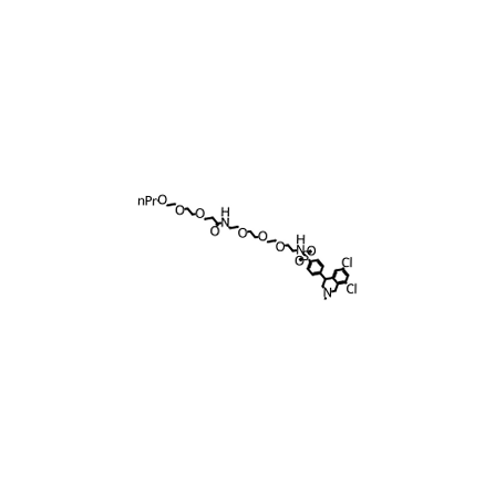 CCCOCCOCCOCCC(=O)NCCOCCOCCOCCNS(=O)(=O)c1ccc(C2CN(C)Cc3c(Cl)cc(Cl)cc32)cc1